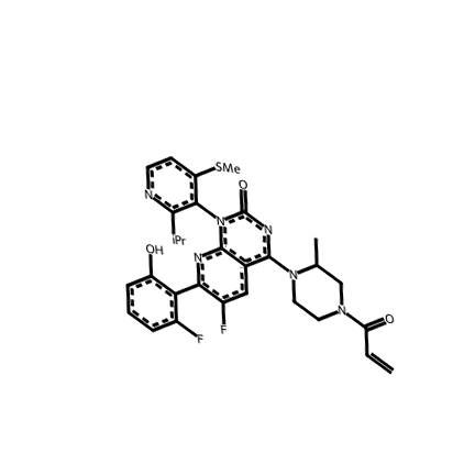 C=CC(=O)N1CCN(c2nc(=O)n(-c3c(SC)ccnc3C(C)C)c3nc(-c4c(O)cccc4F)c(F)cc23)C(C)C1